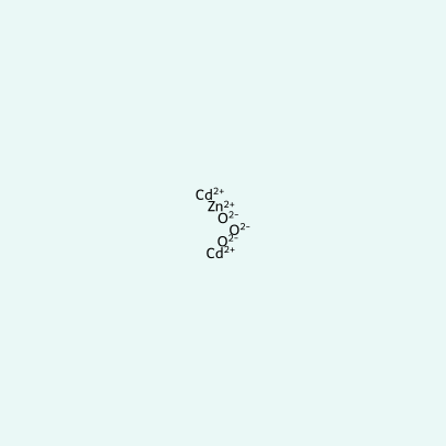 [Cd+2].[Cd+2].[O-2].[O-2].[O-2].[Zn+2]